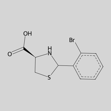 O=C(O)[C@@H]1CSC(c2ccccc2Br)N1